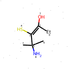 CC/C(O)=C(/S)C(C)(C)N